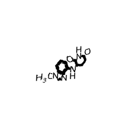 Cn1cnc2c(NC3CCC(=O)NC3=O)cccc21